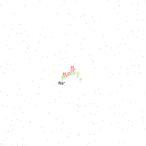 F.F.F.F.O.O.[F-].[Na+]